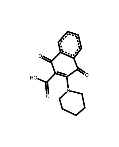 O=C(O)C1=C(N2CCCCC2)C(=O)c2ccccc2C1=O